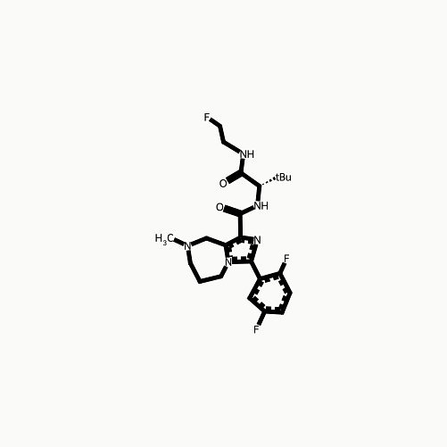 CN1CCCn2c(-c3cc(F)ccc3F)nc(C(=O)N[C@H](C(=O)NCCF)C(C)(C)C)c2C1